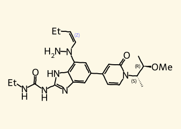 CC/C=C\N(N)c1cc(-c2ccn([C@@H](C)[C@@H](C)OC)c(=O)c2)cc2nc(NC(=O)NCC)[nH]c12